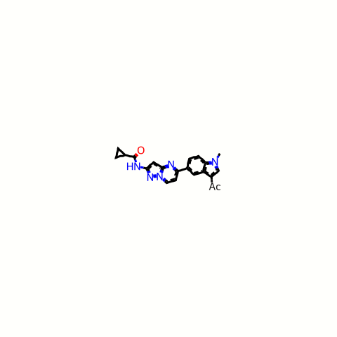 CC(=O)c1cn(C)c2ccc(-c3ccn4nc(NC(=O)C5CC5)cc4n3)cc12